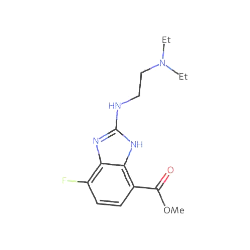 CCN(CC)CCNc1nc2c(F)ccc(C(=O)OC)c2[nH]1